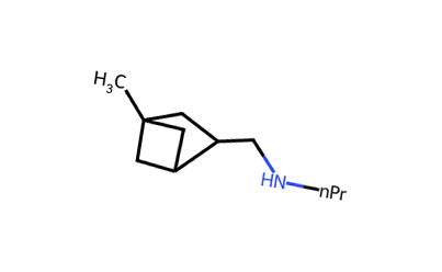 CCCNCC1CC2(C)CC1C2